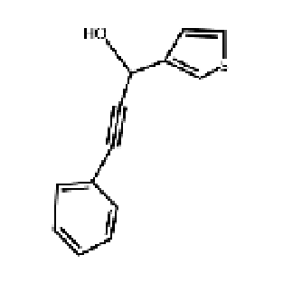 OC(C#Cc1ccccc1)c1ccsc1